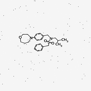 CC(C)CN(Cc1ccc(N2CCCOCC2)cc1)S(=O)(=O)Cc1ccccc1